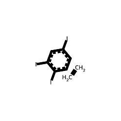 C=C.Ic1ccc(I)c(I)c1